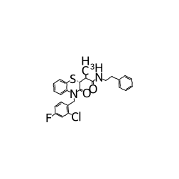 C[C@@H](C(=O)NCCc1ccccc1)[C@H]1Sc2ccccc2N(Cc2ccc(F)cc2Cl)C1=O